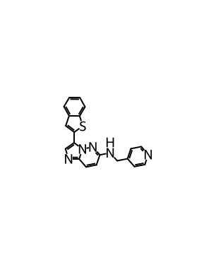 c1ccc2sc(-c3cnc4ccc(NCc5ccncc5)nn34)cc2c1